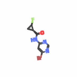 O=C(Nc1cc(Br)ncn1)[C@H]1C[C@H]1F